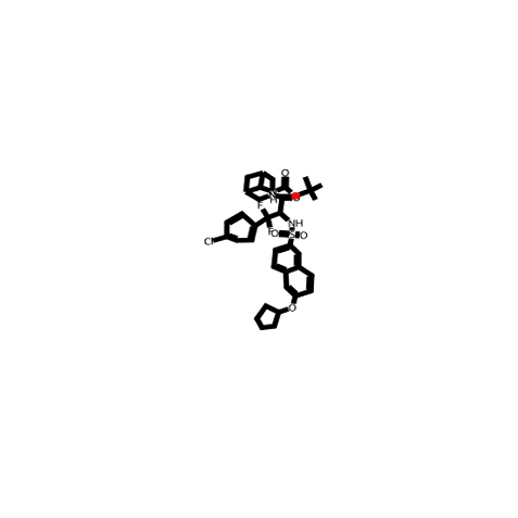 CC(C)(C)OC(=O)NC1C2CC1CN(C(=O)C(NS(=O)(=O)c1ccc3cc(OC4CCCC4)ccc3c1)C(F)(F)c1ccc(Cl)cc1)C2